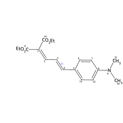 CCOC(=O)C(=C/C=C/c1ccc(N(C)C)cc1)C(=O)OCC